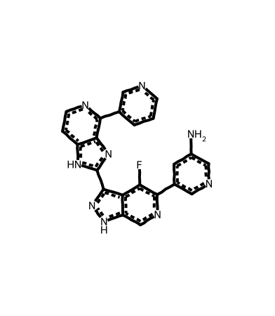 Nc1cncc(-c2ncc3[nH]nc(-c4nc5c(-c6cccnc6)nccc5[nH]4)c3c2F)c1